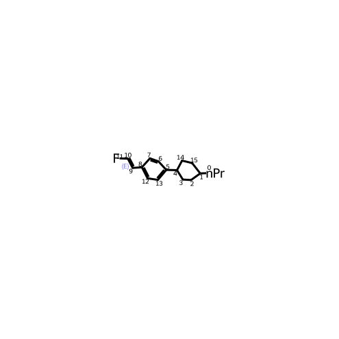 CCCC1CCC(c2ccc(/C=C/F)cc2)CC1